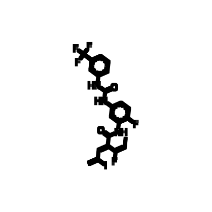 C=C(I)/C=C(C(=O)Nc1cc(NC(=O)Nc2cccc(C(F)(F)F)c2)ccc1F)\C(F)=C/C